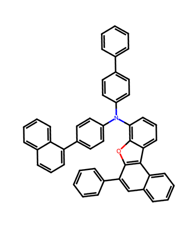 c1ccc(-c2ccc(N(c3ccc(-c4cccc5ccccc45)cc3)c3cccc4c3oc3c(-c5ccccc5)cc5ccccc5c34)cc2)cc1